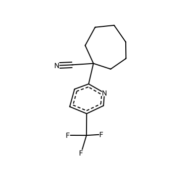 N#CC1(c2ccc(C(F)(F)F)cn2)CCCCCC1